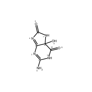 NC1=NC2=NC(=O)NC2(O)C(=O)N1